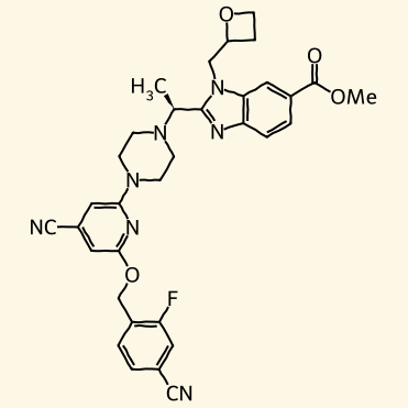 COC(=O)c1ccc2nc([C@H](C)N3CCN(c4cc(C#N)cc(OCc5ccc(C#N)cc5F)n4)CC3)n(CC3CCO3)c2c1